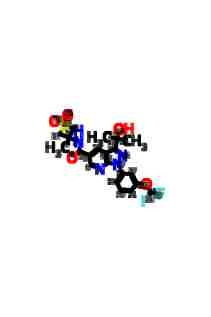 CC1(NC(=O)c2cnc3c(c2)c(C(C)(C)O)nn3-c2cccc(OC(F)F)c2)CS(=O)(=O)C1